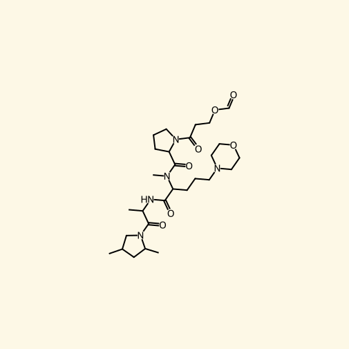 CC1CC(C)N(C(=O)C(C)NC(=O)C(CCCN2CCOCC2)N(C)C(=O)C2CCCN2C(=O)CCOC=O)C1